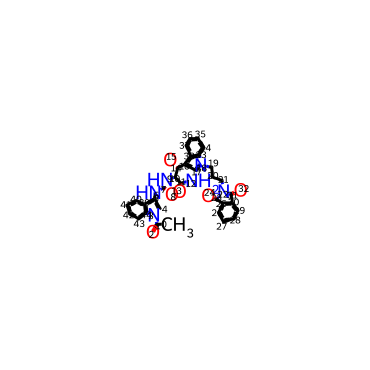 CC(=O)n1cc(NC(=O)NC(C(N)=O)C(=O)c2cn(CCCN3C(=O)c4ccccc4C3=O)c3ccccc23)c2ccccc21